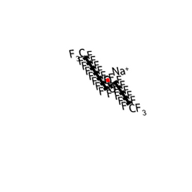 O=P([O-])(C(F)(F)C(F)(F)C(F)(F)C(F)(F)C(F)(F)C(F)(F)F)C(F)(F)C(F)(F)C(F)(F)C(F)(F)C(F)(F)C(F)(F)C(F)(F)C(F)(F)F.[Na+]